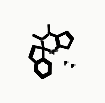 CP1C2=[C](CC=C2)[Hf+2][C]2(C=Cc3ccccc32)P1C.[F-].[F-]